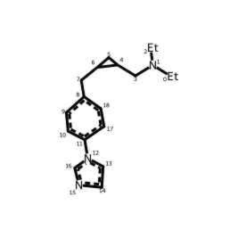 CCN(CC)CC1CC1Cc1ccc(-n2ccnc2)cc1